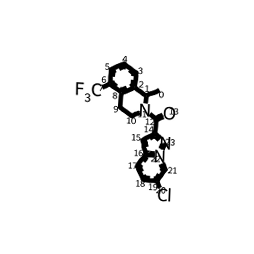 CC1c2cccc(C(F)(F)F)c2CCN1C(=O)c1cc2ccc(Cl)cn2n1